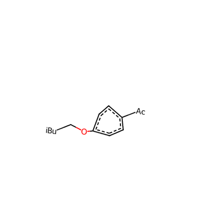 CCC(C)COc1ccc(C(C)=O)cc1